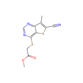 COC(=O)CSc1ncnc2c(C)c(C#N)sc12